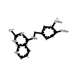 COc1ccc(CNc2nc(Cl)nc3ncccc23)cc1OC